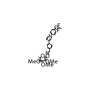 CO[C@@H]1[C@@H](OC)[C@H](C)O[C@@H](O/N=C/c2ccc(-c3ccn(-c4ccc(OC(C)(F)F)cc4)c3)cc2)[C@@H]1OC